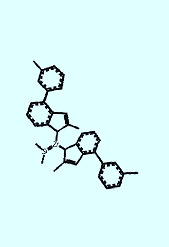 CC1=Cc2c(-c3cccc(C)c3)cccc2[CH]1[Zr]([CH]1C(C)=Cc2c(-c3cccc(C)c3)cccc21)=[Si](C)C